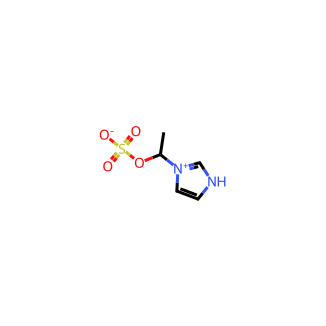 CC(OS(=O)(=O)[O-])[n+]1cc[nH]c1